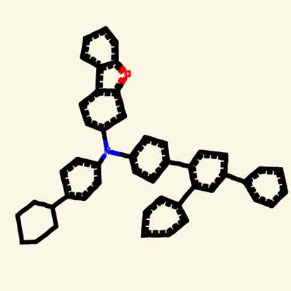 c1ccc(-c2ccc(-c3ccc(N(c4ccc(C5CCCCC5)cc4)c4ccc5c(c4)oc4ccccc45)cc3)c(-c3ccccc3)c2)cc1